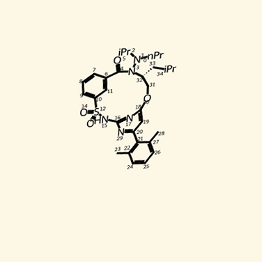 CCCN(C(C)C)N1C(=O)c2cccc(c2)S(=O)(=O)Nc2nc(cc(-c3c(C)cccc3C)n2)OC[C@H]1CC(C)C